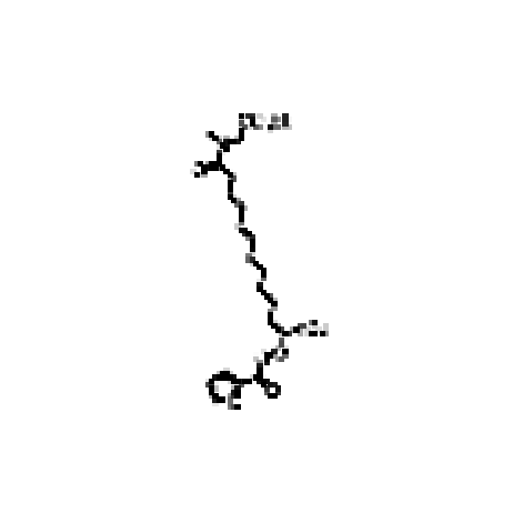 CCCCC(CCCCCCCCCCC(=O)N(C)CC(=O)OCC)OOC(=O)c1ccco1